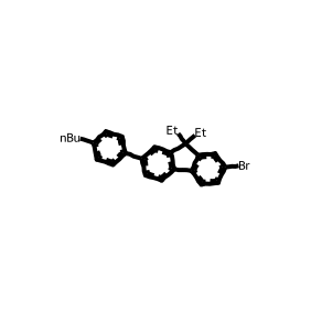 CCCCc1ccc(-c2ccc3c(c2)C(CC)(CC)c2cc(Br)ccc2-3)cc1